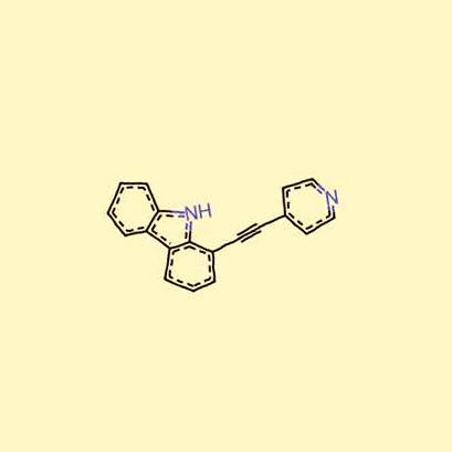 C(#Cc1cccc2c1[nH]c1ccccc12)c1ccncc1